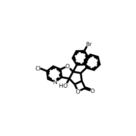 O=C1OC2C1C(c1ccccc1)C1(c3ccc(Br)cc3)Oc3cc(Cl)cnc3C21O